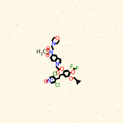 CS(=O)(=O)N(CCN1CCOCC1)c1ccc2c(ccn2CC(=O)OC(Cc2c(Cl)c[n+]([O-])cc2Cl)c2ccc(OC(F)F)c(OCC3CC3)c2)c1